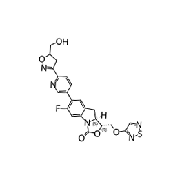 O=C1O[C@@H](COc2cnsn2)[C@@H]2Cc3cc(-c4ccc(C5=NOC(CO)C5)nc4)c(F)cc3N12